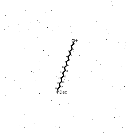 [CH]=CCCCCCCCCCCCCCCCCCCCCCCCCCC[CH2]